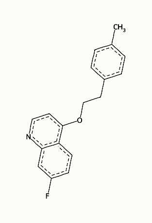 Cc1ccc(CCOc2ccnc3cc(F)ccc23)cc1